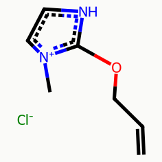 C=CCOc1[nH]cc[n+]1C.[Cl-]